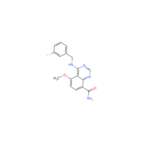 COc1ccc(C(N)=O)c2ncnc(NCc3cccc(F)c3)c12